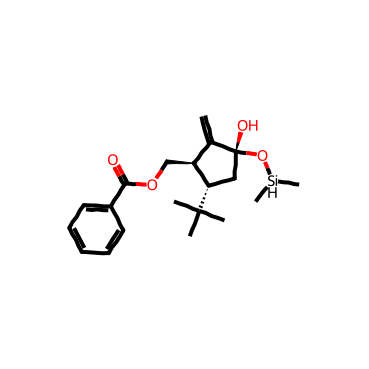 C=C1[C@H](COC(=O)c2ccccc2)[C@@H](C(C)(C)C)C[C@@]1(O)O[SiH](C)C